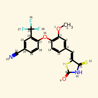 COc1cc(/C=C2\SC(=O)NC2=S)ccc1Oc1ccc(C#N)cc1C(F)(F)F